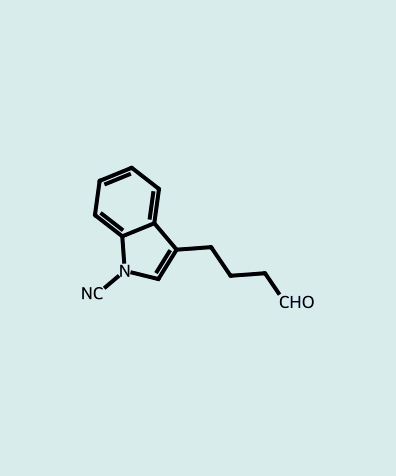 N#Cn1cc(CCCC=O)c2ccccc21